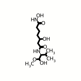 COC(O)[C@H](NC(=O)CC(O)CCCC(=O)NO)C(C)C